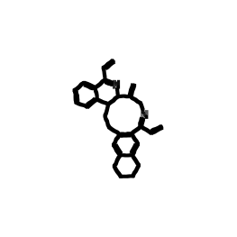 C=CC1=NC2C(=C)C/N=C(/C=C)c3cc4c(cc3CCC2c2ccccc21)CCCC4